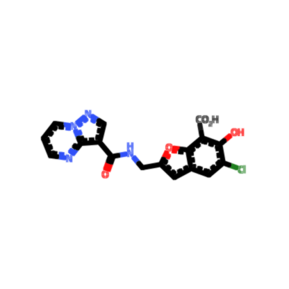 O=C(O)c1c(O)c(Cl)cc2cc(CNC(=O)c3cnn4cccnc34)oc12